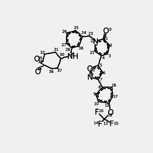 O=c1ccc(-c2cc(-c3ccc(OC(F)(F)F)cc3)no2)cn1Cc1cccc(NC2CCS(=O)(=O)CC2)c1